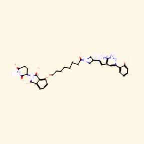 O=C1CCC(N2C(=O)c3cccc(OCCCCCCCC(=O)N4CC(c5cc6cc(-c7ccccc7O)nnc6[nH]5)C4)c3C2=O)C(=O)N1